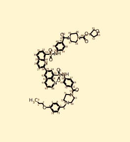 CCCOc1ccc(CN2CCN(C(=O)c3ccc(NS(=O)(=O)c4cc(-c5ccc6cccc(S(=O)(=O)Nc7ccc(C(=O)N8CCN(C(=O)O[C@H]9CCOC9)CC8)cc7)c6n5)cc5cccnc45)cc3)CC2)cc1